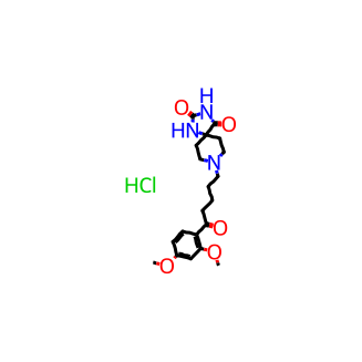 COc1ccc(C(=O)CCCCN2CCC3(CC2)NC(=O)NC3=O)c(OC)c1.Cl